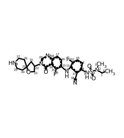 CCN(C)S(=O)(=O)Nc1ccc(F)c(Nc2ccc3ncn(C4COC5(CCNCC5)C4)c(=O)c3c2F)c1C#N